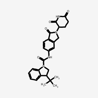 CC(C)(C)C1CN(C(=O)Nc2ccc3c(c2)CN(C2CCC(=O)NC2=O)C3=O)c2ccccc21